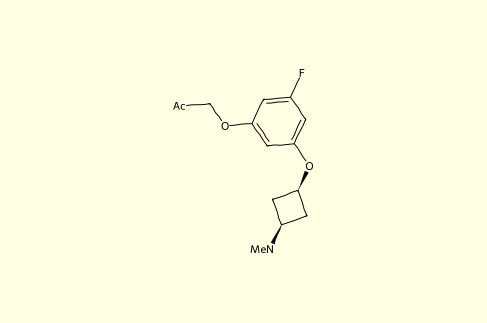 CN[C@H]1C[C@@H](Oc2cc(F)cc(OCC(C)=O)c2)C1